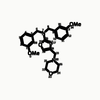 COc1cccc(CN(Cc2cccc(OC)c2)c2nc(CN3CCOCC3)co2)c1